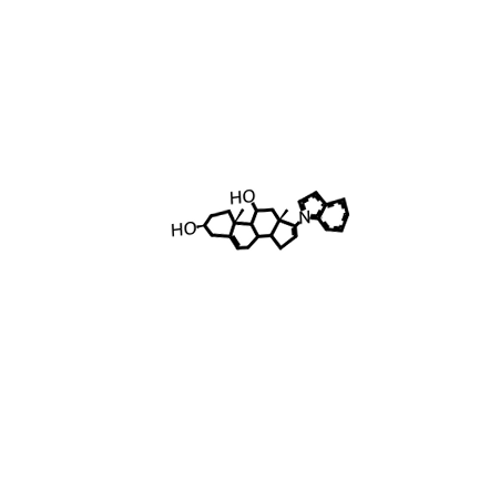 C[C@]12CC[C@H](O)CC1=CCC1C2C(O)C[C@]2(C)C(n3ccc4ccccc43)=CCC12